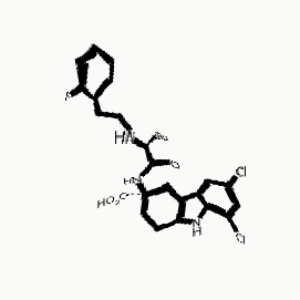 CCC(C)[C@H](NCCc1ccccc1F)C(=O)N[C@]1(C(=O)O)CCc2[nH]c3c(Cl)cc(Cl)cc3c2C1